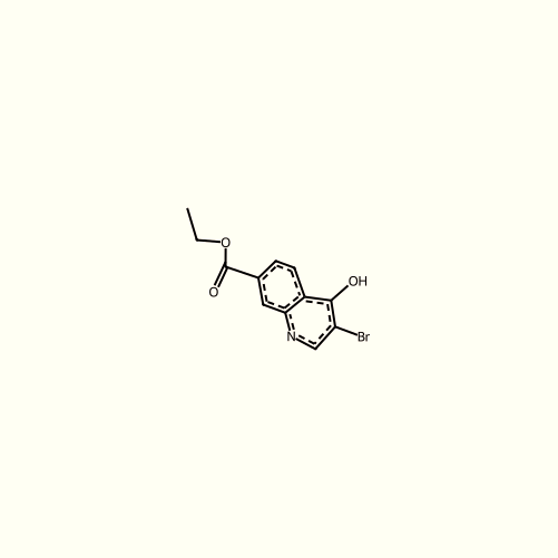 CCOC(=O)c1ccc2c(O)c(Br)cnc2c1